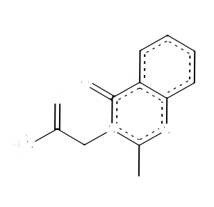 [CH2]c1nc2ccccc2c(=O)n1CC(N)=O